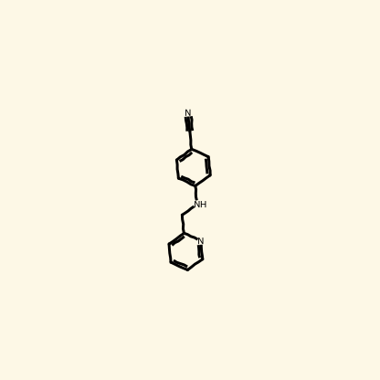 N#Cc1ccc(NCc2ccccn2)cc1